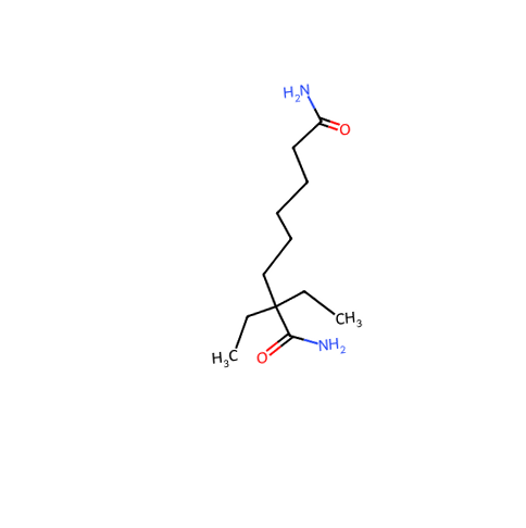 CCC(CC)(CCCCCC(N)=O)C(N)=O